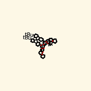 CC(C)(C)c1ccc2c(c1)C1(c3cc(N(c4ccc(-c5ccccc5)cc4)c4ccc5c(c4)C(C)(C)c4ccccc4-5)ccc3-2)c2cc(N(c3ccc(-c4ccccc4)cc3)c3ccc4c(c3)C(C)(C)c3ccccc3-4)ccc2-c2ccc(C(C)(C)C)cc21